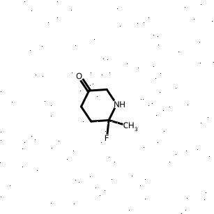 CC1(F)CCC(=O)CN1